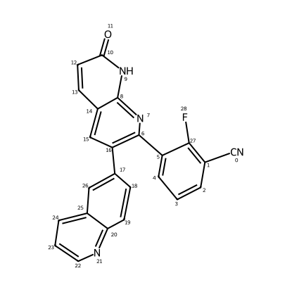 N#Cc1cccc(-c2nc3[nH]c(=O)ccc3cc2-c2ccc3ncccc3c2)c1F